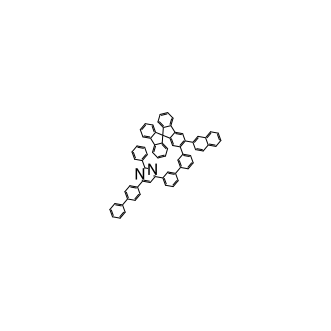 c1ccc(-c2ccc(-c3cc(-c4cccc(-c5cccc(-c6cc7c(cc6-c6ccc8ccccc8c6)-c6ccccc6C76c7ccccc7-c7ccccc76)c5)c4)nc(-c4ccccc4)n3)cc2)cc1